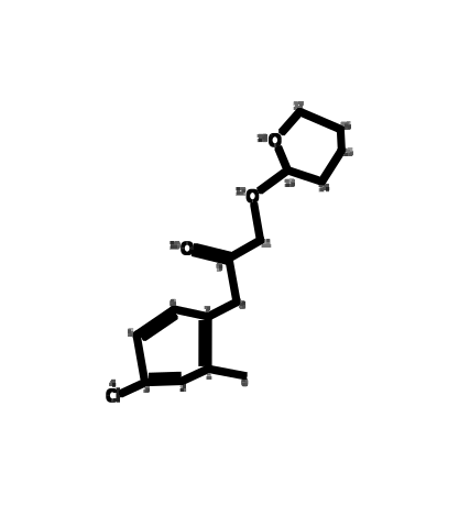 Cc1cc(Cl)ccc1CC(=O)COC1CCCCO1